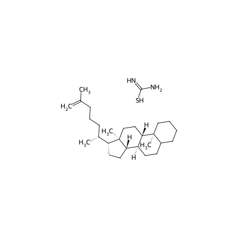 C=C(C)CCC[C@@H](C)[C@H]1CC[C@H]2[C@@H]3CCC4CCCC[C@]4(C)[C@H]3CC[C@]12C.N=C(N)S